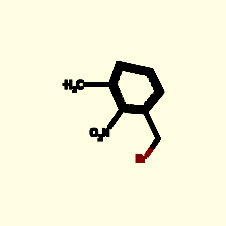 [CH2]c1cccc(CBr)c1[N+](=O)[O-]